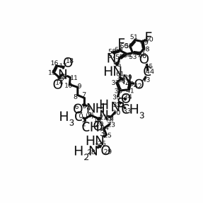 CC(C)[C@H](NC(=O)CCCCCN1C(=O)C=CC1=O)C(=O)N[C@@H](CCCNC(N)=O)CN=S(C)(=O)Cc1cc2nc(c1)OCCCOc1cc(F)ccc1-c1cc(ncc1F)N2